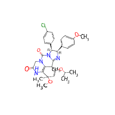 COc1ccc([C@H]2N=C3N(C(=O)N4CC(=O)NC5=C4C3(C)C(OC(C)C)=CC5(C)OC)[C@H]2c2ccc(Cl)cc2)cc1